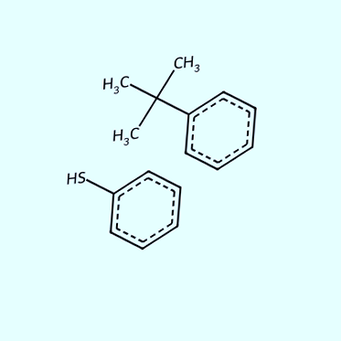 CC(C)(C)c1ccccc1.Sc1ccccc1